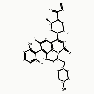 C=CC(=O)N1C[C@H](C)N(c2nc(=O)n3c4c(c(-c5c(O)cccc5F)c(Cl)cc24)OC[C@@H]3CN2CCN(O)CC2)C[C@H]1C